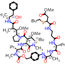 CCC(C)CSC(CC(=O)OC)C(=O)NCCC(=O)N[C@H](C(=O)N[C@@H](C)C(=O)Nc1ccc(COC(=O)N(C)[C@H](C(=O)N[C@H](C(=O)N(C)[C@@H]([C@@H](C)CC)[C@@H](CC(=O)N2CCC[C@H]2[C@H](OC)[C@@H](C)C(=O)N[C@H](C)[C@@H](O)c2ccccc2)OC)C(C)C)C(C)C)cc1)C(C)C